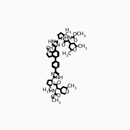 COC(=O)N[C@H](C(=O)N1[C@@H](C)CC[C@H]1c1nc(-c2ccc(-c3ccc(-c4c[nH]c([C@@H]5CC[C@H](C)N5C(=O)[C@@H](NC(=O)OC)C5C[C@@H](C)O[C@H](C)C5)n4)c4c3CCN4C)cc2)c[nH]1)C1CCO[C@H](C)C1